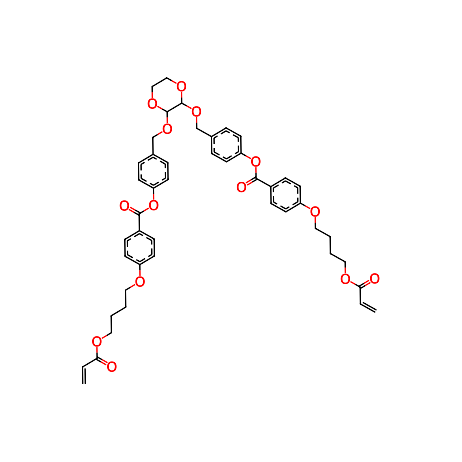 C=CC(=O)OCCCCOc1ccc(C(=O)Oc2ccc(COC3OCCOC3OCc3ccc(OC(=O)c4ccc(OCCCCOC(=O)C=C)cc4)cc3)cc2)cc1